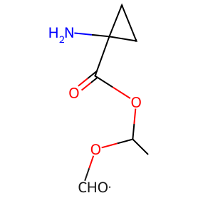 CC(O[C]=O)OC(=O)C1(N)CC1